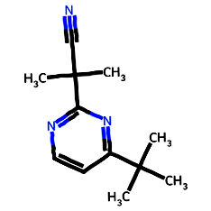 CC(C)(C)c1ccnc(C(C)(C)C#N)n1